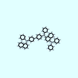 c1ccc(N(c2ccc(-c3ccc(N(c4ccccc4)c4ccc(N(c5ccccc5)c5ccccc5)c5ccccc45)cc3)cc2)c2cccc3ccccc23)cc1